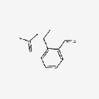 C=C(C)C.C=Cc1ccccc1CC